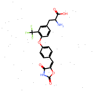 NC(Cc1ccc(Oc2ccc(/C=C3/OC(=O)NC3=O)cc2)c(C(F)(F)F)c1)C(=O)O